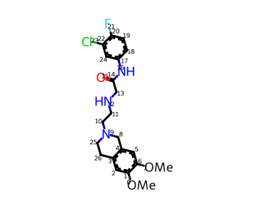 COc1cc2c(cc1OC)CN(CCNCC(=O)Nc1ccc(F)c(Cl)c1)CC2